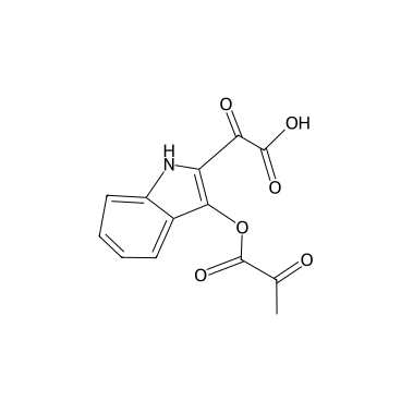 CC(=O)C(=O)Oc1c(C(=O)C(=O)O)[nH]c2ccccc12